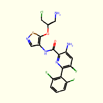 NCC(CCl)Oc1sncc1NC(=O)c1nc(-c2c(F)cccc2F)c(F)cc1N